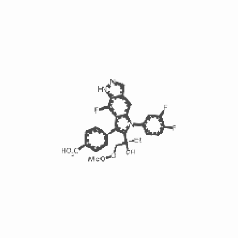 CC[C@@](O)(COOC)c1c(-c2ccc(C(=O)O)cc2)c2c(F)c3[nH]ncc3cc2n1-c1ccc(F)c(F)c1